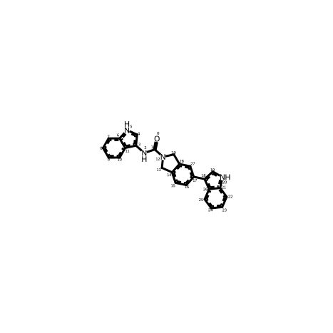 O=C(Nc1c[nH]c2ccccc12)N1Cc2ccc(-c3c[nH]c4ccccc34)cc2C1